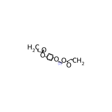 C=CC(=O)O/C=C\Oc1ccc(OC(=O)C=C)cc1